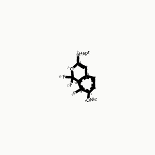 CCCCCCCC1=Cc2ccc(OC)c(F)c2C(F)(F)O1